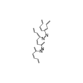 C=C/C=C\C(=C)/N=N\C(=C)\C=C/C(=C\C=C)/N=N\C(\C=C/C=C)=C\C=C